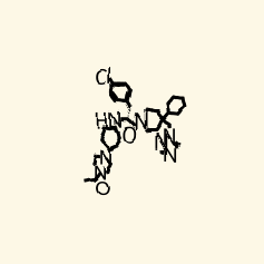 CC(=O)N1CCN([C@H]2CC[C@@H](N[C@H](Cc3ccc(Cl)cc3)C(=O)N3CCC(Cn4cncn4)(C4CCCCC4)CC3)CC2)CC1